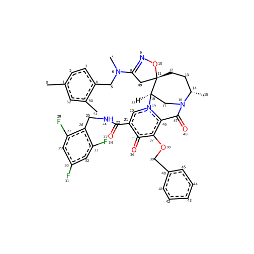 Cc1ccc(CN(C)C2=NO[C@@]3(CC[C@H](C)N4C[C@H]3n3cc(C(=O)NCc5c(F)cc(F)cc5F)c(=O)c(OCc5ccccc5)c3C4=O)C2)c(C)c1